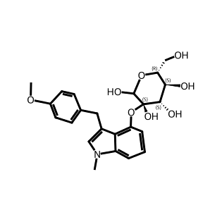 COc1ccc(Cc2cn(C)c3cccc(O[C@]4(O)C(O)O[C@H](CO)[C@@H](O)[C@@H]4O)c23)cc1